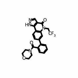 O=C(c1ccccc1-c1ccc2c3[nH]ncc3c(=O)n(CC(F)(F)F)c2c1)N1CCOCC1